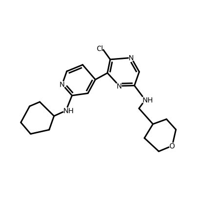 Clc1ncc(NCC2CCOCC2)nc1-c1ccnc(NC2CCCCC2)c1